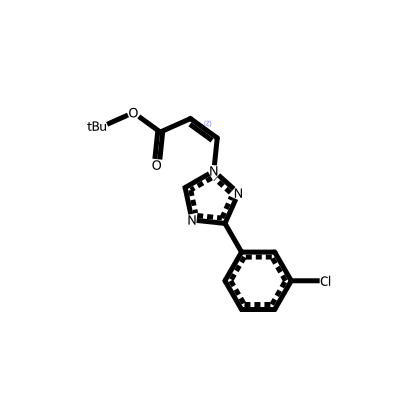 CC(C)(C)OC(=O)/C=C\n1cnc(-c2cccc(Cl)c2)n1